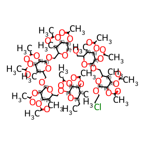 CC[C@H]1O[C@@H](OCC2O[C@@H](OCC3O[C@@H](OCC4O[C@@H](OCC5O[C@@H](OCC6O[C@@H](OCCCl)[C@H](OC(C)=O)[C@@H](OC(C)=O)[C@@H]6C)[C@H](OC(C)=O)[C@@H](OC(C)=O)[C@@H]5C)[C@H](OC(C)=O)[C@@H](OC(C)=O)[C@@H]4C)[C@H](OC(C)=O)[C@@H](OC(C)=O)[C@@H]3C)[C@H](OC(C)=O)[C@@H](OC(C)=O)[C@@H]2C)[C@H](OC(C)=O)[C@@H](OC(C)=O)[C@@H]1C